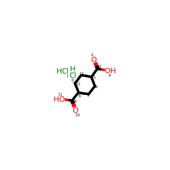 Cl.Cl.O=C(O)C1CCC(C(=O)O)CC1